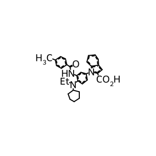 CCN(c1ccc(-n2c(C(=O)O)cc3ccccc32)cc1NC(=O)c1ccc(C)cc1)C1CCCCC1